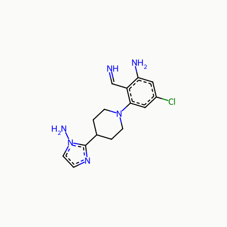 N=Cc1c(N)cc(Cl)cc1N1CCC(c2nccn2N)CC1